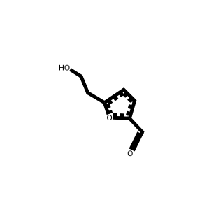 O=Cc1ccc(CCO)o1